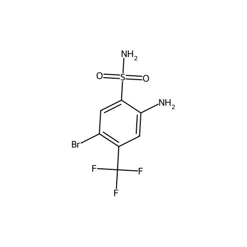 Nc1cc(C(F)(F)F)c(Br)cc1S(N)(=O)=O